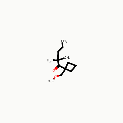 CCCC(C)(C)C(=O)C1(COC)CCC1